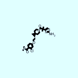 CN(C)C(=O)c1ccc(OCC[C@@H]2CC23CCN(C(=O)C(C)(C)c2csc(N)n2)CC3)cc1Cl